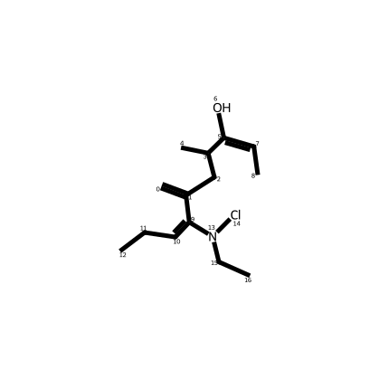 C=C(CC(C)/C(O)=C\C)/C(=C\CC)N(Cl)CC